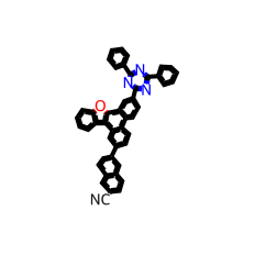 N#Cc1ccc2cc(-c3ccc4c5ccc(-c6nc(-c7ccccc7)nc(-c7ccccc7)n6)cc5c5oc6ccccc6c5c4c3)ccc2c1